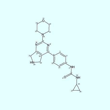 O=C(Nc1ccc(-c2nc(N3CCOCC3)nc3c2CNC3)cc1)NC1CC1